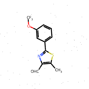 Cc1sc(-c2cccc(OC(F)(F)F)c2)nc1C=O